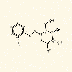 OC[C@H]1[C@@H](O)[C@H](O)[C@@H](O)CN1CCc1ccccc1F